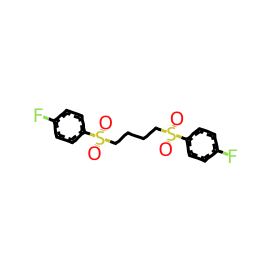 O=S(=O)(CCCCS(=O)(=O)c1ccc(F)cc1)c1ccc(F)cc1